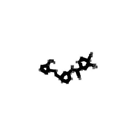 Cn1cnnc1SCc1cccc(NC(=O)c2cc(C(F)(F)F)c(Cl)cn2)c1